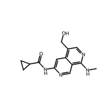 CNc1ncc(CO)c2cc(NC(=O)C3CC3)ncc12